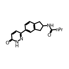 CCCC(=O)NC1Cc2ccc(-c3ccc(=O)[nH]n3)cc2C1